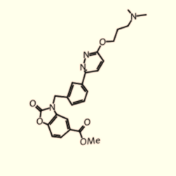 COC(=O)c1ccc2oc(=O)n(Cc3cccc(-c4ccc(OCCCN(C)C)nn4)c3)c2c1